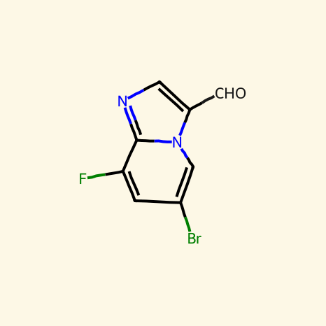 O=Cc1cnc2c(F)cc(Br)cn12